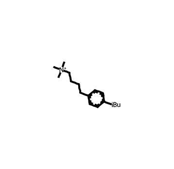 CCC(C)c1ccc(CCCC[N+](C)(C)C)cc1